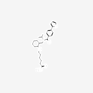 CC(C)N(CC1CCCCC1OCCCCCC(=O)O)C(=O)c1ccc(-c2ccco2)cc1